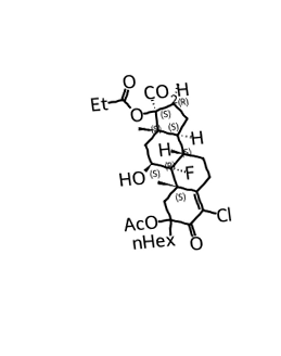 CCCCCCC1(OC(C)=O)C[C@@]2(C)C(=C(Cl)C1=O)CC[C@H]1[C@@H]3C[C@@H](C)[C@@](OC(=O)CC)(C(=O)O)[C@@]3(C)C[C@H](O)[C@@]12F